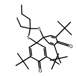 CCCC1(CC)SC2(C=C(C(C)(C)C)C(=O)C(C(C)(C)C)=C2)C2(C=C(C(C)(C)C)C(=O)C(C(C)(C)C)=C2)S1